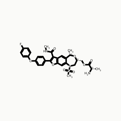 CNC(=O)c1c(-c2ccc(Oc3ccc(F)cc3)cc2)oc2cc3c(cc12)[C@H](C)O[C@H](COC(=O)[C@H](C)N)CN3S(C)(=O)=O